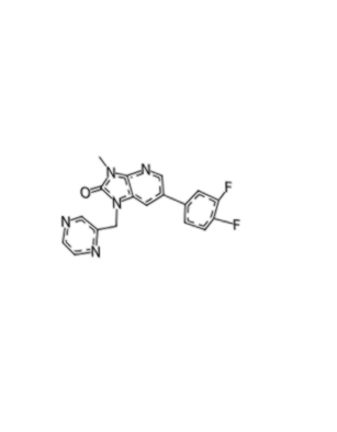 Cn1c(=O)n(Cc2cnccn2)c2cc(-c3ccc(F)c(F)c3)cnc21